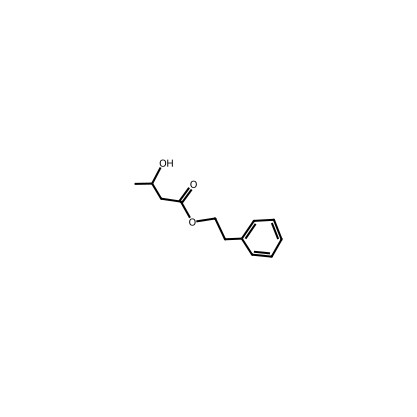 CC(O)CC(=O)OCCc1ccccc1